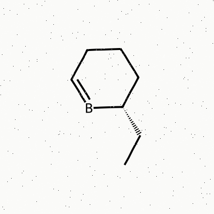 CC[C@@H]1B=CCCC1